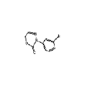 O=C1OCC=NN1c1cccc(Br)c1